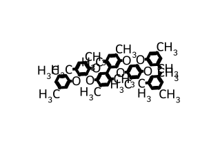 Cc1cc(C)cc(Oc2c(C)cc(C)c3c2Oc2c(C)cc(C)c(-c4c(C)cc(C)c5c4Oc4c(C)cc(Oc6c(C)cc(C)cc6C)c(Oc6cc(C)cc(C)c6)c4O5)c2O3)c1